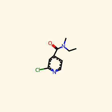 CCN(C)C(=O)c1ccnc(Cl)c1